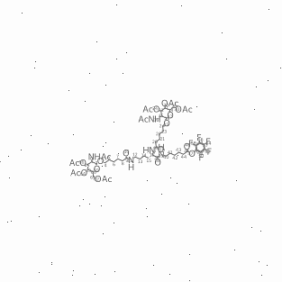 CC(=O)NC1C(OCCCCCC(=O)NCCCC[C@H](NC(=O)CCCCCOC2OC(COC(C)=O)C(OC(C)=O)C(OC(C)=O)C2NC(C)=O)C(=O)NCCCCCC(=O)Oc2c(F)c(F)c(F)c(F)c2F)OC(COC(C)=O)C(OC(C)=O)C1OC(C)=O